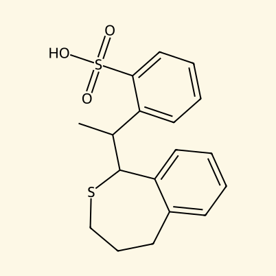 CC(c1ccccc1S(=O)(=O)O)C1SCCCc2ccccc21